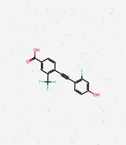 O=C(O)c1ccc(C#Cc2ccc(O)cc2F)c(C(F)(F)F)c1